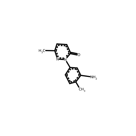 Cc1ccc(=O)n(-c2ccc(C)c(N)c2)n1